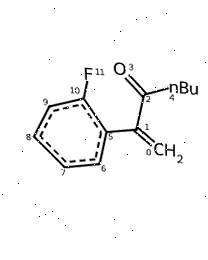 C=C(C(=O)CCCC)c1ccccc1F